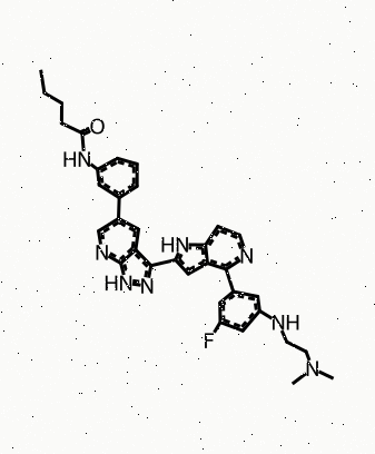 CCCCC(=O)Nc1cccc(-c2cnc3[nH]nc(-c4cc5c(-c6cc(F)cc(NCCN(C)C)c6)nccc5[nH]4)c3c2)c1